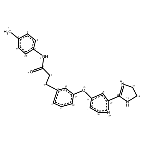 Cc1ccc(NC(=O)CCc2cccc(Oc3ccnc(C4=NCCN4)c3)c2)cc1